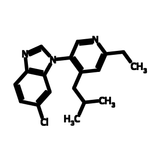 CCc1cc(CC(C)C)c(-n2cnc3ccc(Cl)cc32)cn1